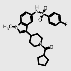 Cn1cc(C2CCN(C(=O)C3CCCC3)CC2)c2cc(NS(=O)(=O)c3ccc(F)cc3)ccc21